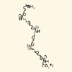 CCOC(=O)CNC(=O)OCCOCCNC(=O)OCCOCCNC(=O)OCCOCCNC(=O)OCCOC(C)N